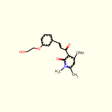 COc1cc(C)n(C)c(=O)c1C(=O)/C=C/c1cccc(OCCO)c1